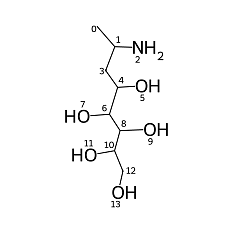 CC(N)CC(O)C(O)C(O)C(O)CO